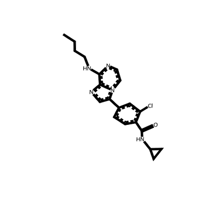 CCCCNc1nccn2c(-c3ccc(C(=O)NC4CC4)c(Cl)c3)cnc12